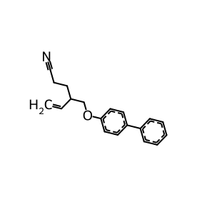 C=CC(CCC#N)COc1ccc(-c2ccccc2)cc1